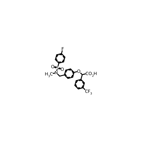 CN(Cc1ccc(OC(C(=O)O)c2cccc(C(F)(F)F)c2)cc1)S(=O)(=O)c1ccc(F)cc1